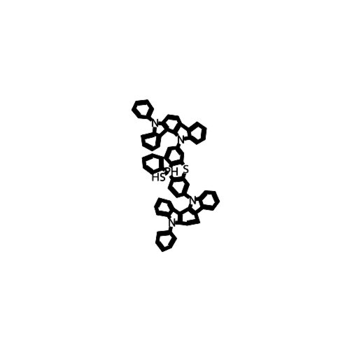 S[PH]1(c2ccccc2)c2ccc(-n3c4ccccc4c4ccc5c(c6ccccc6n5-c5ccccc5)c43)cc2Sc2cc(-n3c4ccccc4c4ccc5c(c6ccccc6n5-c5ccccc5)c43)ccc21